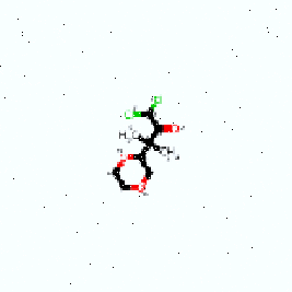 CC(C)(C(=O)C(Cl)Cl)C1COCCO1